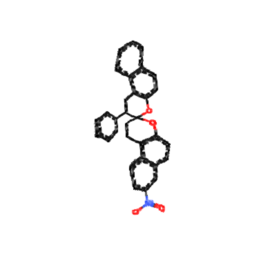 O=[N+]([O-])c1ccc2c3c(ccc2c1)OC1(C=C3)Oc2ccc3ccccc3c2C=C1c1ccccc1